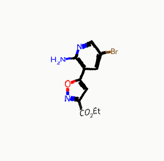 CCOC(=O)c1cc(-c2cc(Br)cnc2N)on1